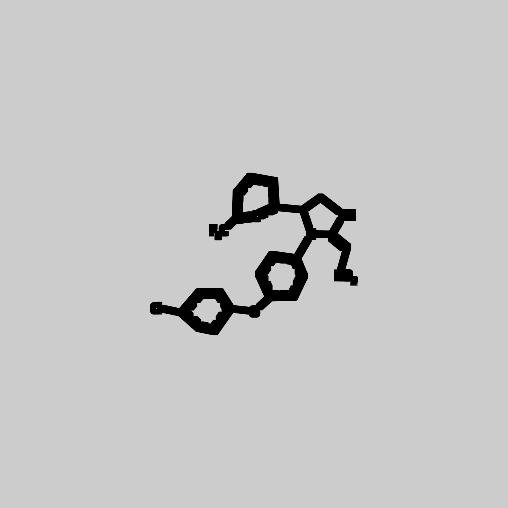 O=[N+]([O-])C=C1NCC(c2cccc(C(F)(F)F)c2)N1c1ccc(Oc2ccc(Cl)cc2)cc1